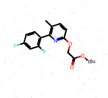 Cc1ccc(OCC(=O)OC(C)(C)C)nc1-c1ccc(F)cc1F